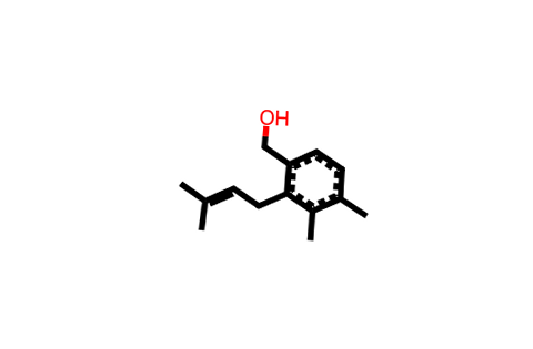 CC(C)=CCc1c(CO)ccc(C)c1C